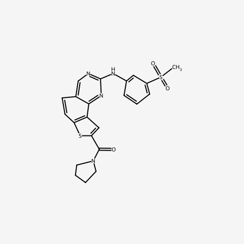 CS(=O)(=O)c1cccc(Nc2ncc3ccc4sc(C(=O)N5CCCC5)cc4c3n2)c1